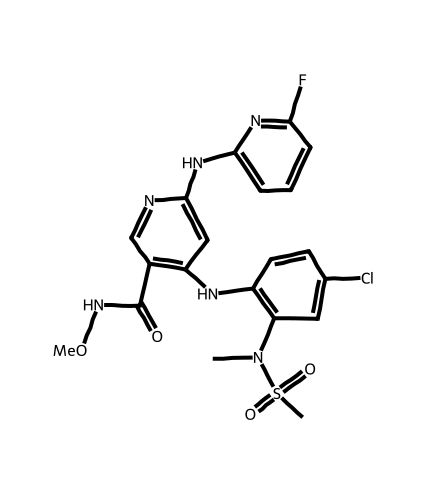 CONC(=O)c1cnc(Nc2cccc(F)n2)cc1Nc1ccc(Cl)cc1N(C)S(C)(=O)=O